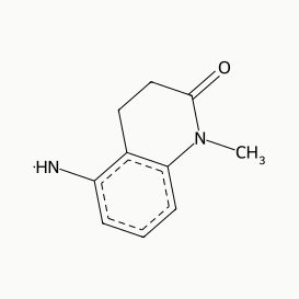 CN1C(=O)CCc2c([NH])cccc21